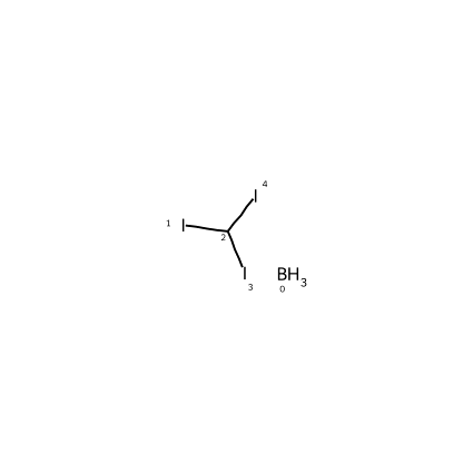 B.IC(I)I